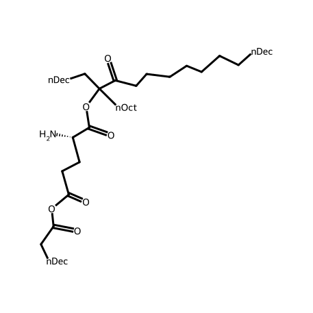 CCCCCCCCCCCCCCCCCC(=O)C(CCCCCCCC)(CCCCCCCCCCC)OC(=O)[C@@H](N)CCC(=O)OC(=O)CCCCCCCCCCC